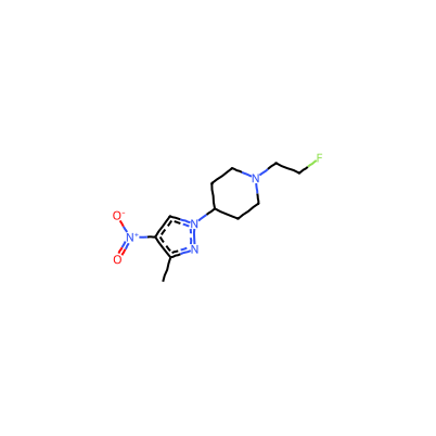 Cc1nn(C2CCN(CCF)CC2)cc1[N+](=O)[O-]